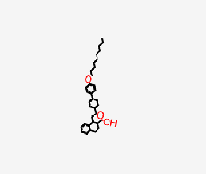 CCCCCCCCCCOc1ccc(-c2ccc(CCC3c4ccccc4CCC3C(=O)O)cc2)cc1